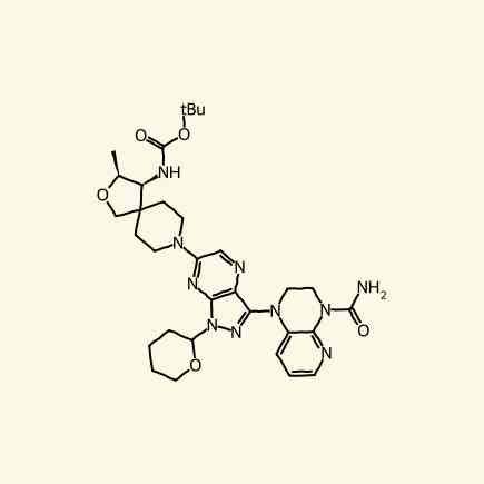 C[C@@H]1OCC2(CCN(c3cnc4c(N5CCN(C(N)=O)c6ncccc65)nn(C5CCCCO5)c4n3)CC2)[C@@H]1NC(=O)OC(C)(C)C